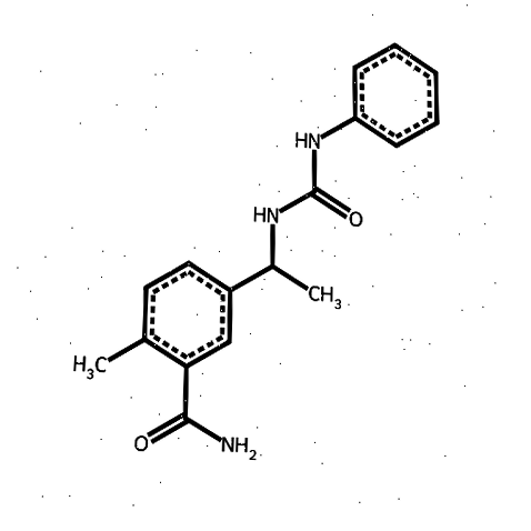 Cc1ccc(C(C)NC(=O)Nc2ccccc2)cc1C(N)=O